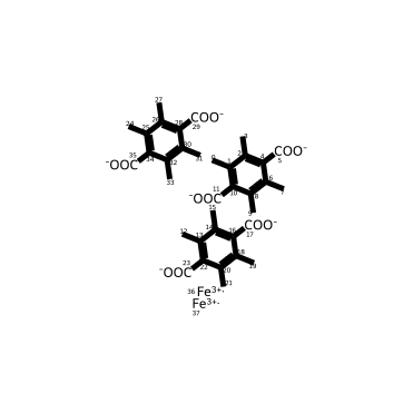 Cc1c(C)c(C(=O)[O-])c(C)c(C)c1C(=O)[O-].Cc1c(C)c(C(=O)[O-])c(C)c(C)c1C(=O)[O-].Cc1c(C)c(C(=O)[O-])c(C)c(C)c1C(=O)[O-].[Fe+3].[Fe+3]